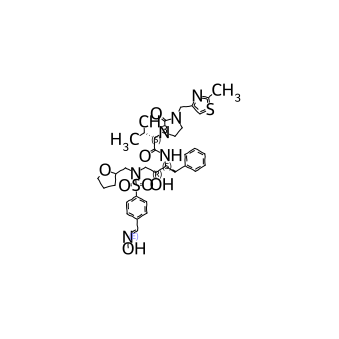 Cc1nc(CN2CCN([C@H](C(=O)N[C@@H](Cc3ccccc3)[C@H](O)CN(CC3CCCO3)S(=O)(=O)c3ccc(/C=N/O)cc3)C(C)C)C2=O)cs1